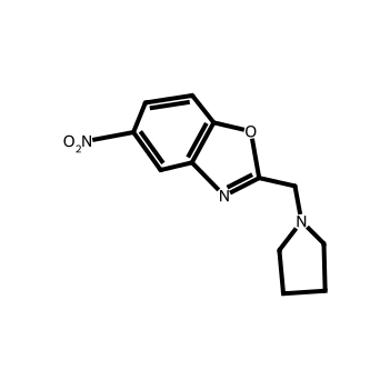 O=[N+]([O-])c1ccc2oc(CN3CCCC3)nc2c1